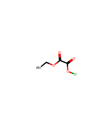 CC(C)(C)COC(=O)C(=O)OCl